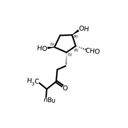 CCCCC(C)C(=O)CC[C@H]1[C@@H](C=O)[C@H](O)C[C@@H]1O